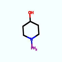 OC1CCN(P)CC1